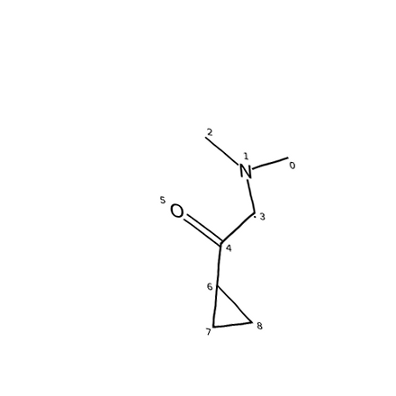 CN(C)[CH]C(=O)C1CC1